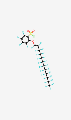 O=S(=O)(Cl)c1c(F)c(F)c(F)c(F)c1OC(F)=C(F)C(F)(F)C(F)(F)C(F)(F)C(F)(F)C(F)(F)C(F)(F)C(F)(F)C(F)(F)C(F)(F)C(F)(F)F